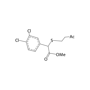 COC(=O)C(SCCC(C)=O)c1ccc(Cl)c(Cl)c1